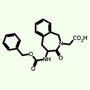 O=C(O)CN1Cc2ccccc2CC(NC(=O)OCc2ccccc2)C1=O